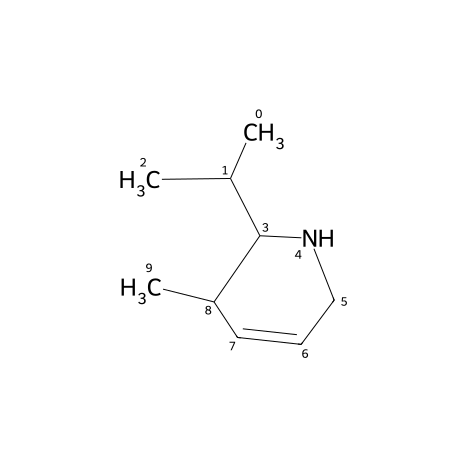 CC(C)C1NCC=CC1C